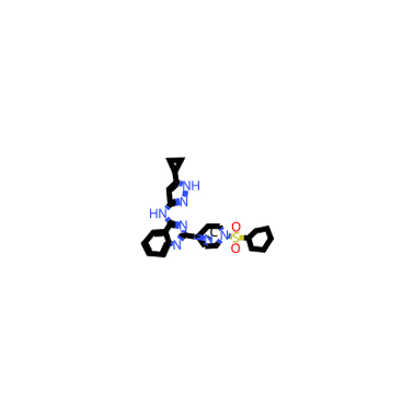 O=S(=O)(C1CCCCC1)N1CC2CCC1CN2c1nc(Nc2cc(C3CC3)[nH]n2)c2ccccc2n1